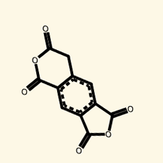 O=C1Cc2cc3c(cc2C(=O)O1)C(=O)OC3=O